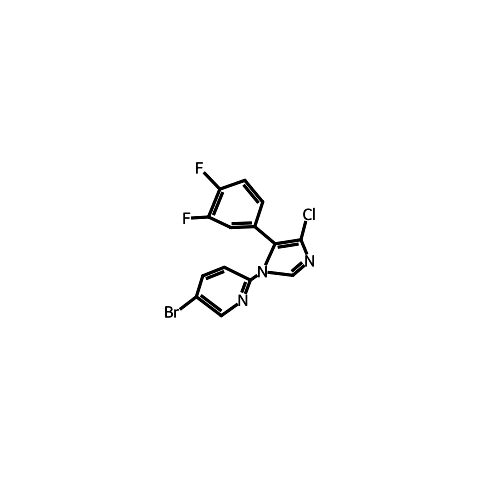 Fc1ccc(-c2c(Cl)ncn2-c2ccc(Br)cn2)cc1F